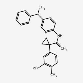 C=C(Nc1ccc(C(C)c2ccccc2)cn1)C1(c2ccc(C)c(CCC)c2)CC1